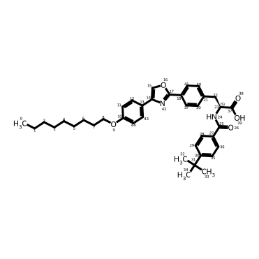 CCCCCCCCCOc1ccc(-c2coc(-c3ccc(C[C@H](NC(=O)c4ccc(C(C)(C)C)cc4)C(=O)O)cc3)n2)cc1